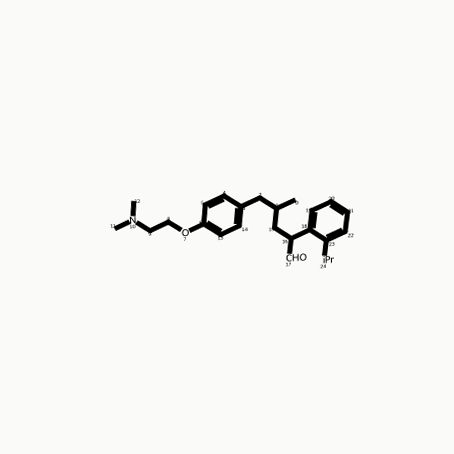 CC(Cc1ccc(OCCN(C)C)cc1)CC(C=O)c1ccccc1C(C)C